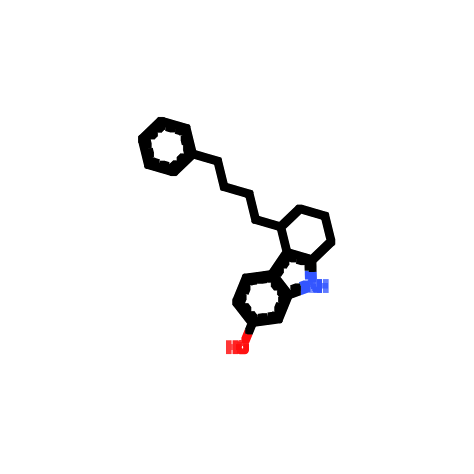 Oc1ccc2c3c([nH]c2c1)CCCC3CCCCc1ccccc1